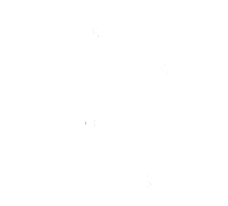 COc1ccsc1Cc1cc2sccc2s1